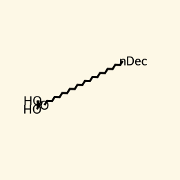 CCCCCCCCCCCCCCCCCCCCCCCCCCCCCCOP(O)O